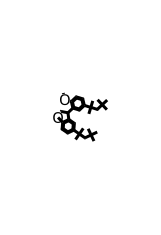 COc1ccc(C(C)(C)CC(C)(C)C)cc1C1COc2ccc(C(C)(C)CC(C)(C)C)cc21